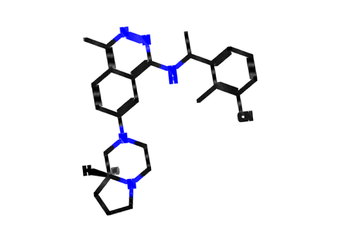 Cc1c(C#N)cccc1C(C)Nc1nnc(C)c2ccc(N3CCN4CCC[C@@H]4C3)cc12